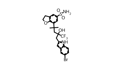 CC(C)(CC(O)(Cc1cc2cc(Br)ccc2[nH]1)C(F)(F)F)c1cc(S(N)(=O)=O)cc2c1OCC2